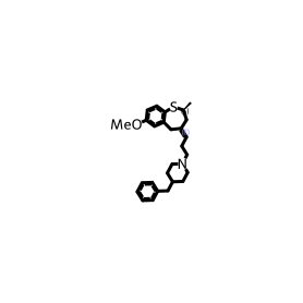 COc1ccc2c(c1)C/C(=C\CCN1CCC(Cc3ccccc3)CC1)C[C@H](C)S2